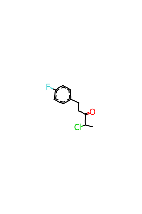 CC(Cl)C(=O)CCc1ccc(F)cc1